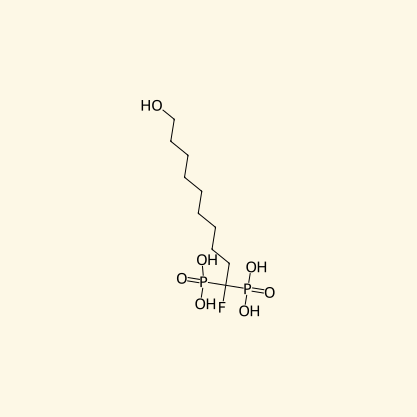 O=P(O)(O)C(F)(CCCCCCCCCO)P(=O)(O)O